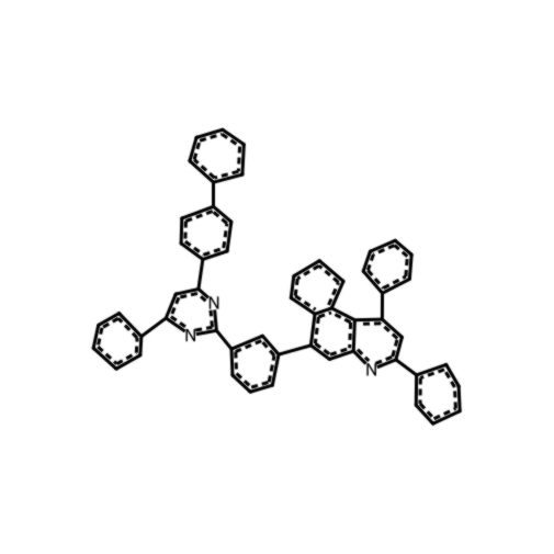 c1ccc(-c2ccc(-c3cc(-c4ccccc4)nc(-c4cccc(-c5cc6nc(-c7ccccc7)cc(-c7ccccc7)c6c6ccccc56)c4)n3)cc2)cc1